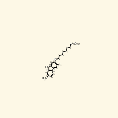 CCCCCCCCCCCCCCCCCCOc1cc2[nH]c3cc(N)ccc3c2cc1C